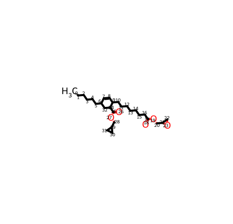 CCCCCCC1C=CC(CCCCCCCC(=O)OCC2CO2)C(C(=O)OCC2CC2)C1